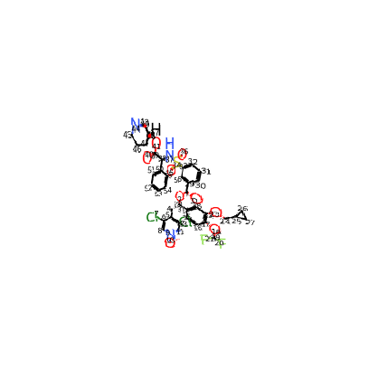 O=C(O[C@@H](Cc1c(Cl)c[n+]([O-])cc1Cl)c1ccc(OC(F)F)c(OCC2CC2)c1)c1cccc(S(=O)(=O)NC(C(=O)O[C@H]2CN3CCC2CC3)c2ccccc2)c1